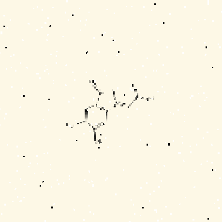 Cc1cc2c(cc1C)C(=CC(=O)O)OC2=O